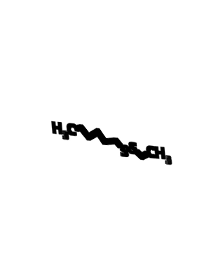 CCCCCCSSCC